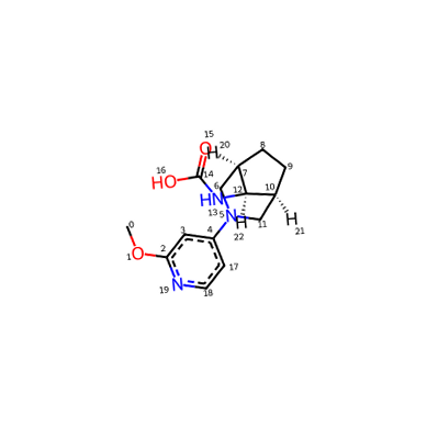 COc1cc(N2C[C@H]3CC[C@@H](C2)[C@H]3NC(=O)O)ccn1